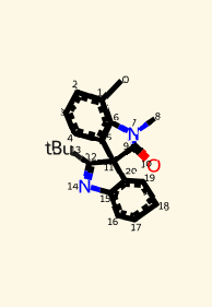 Cc1cccc2c1N(C)C(=O)C21C(C(C)(C)C)=Nc2ccccc21